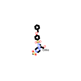 COC(=O)[C@H](CNS(=O)(=O)c1ccc(OCc2ccccc2)cc1)N1CCN(S(C)(=O)=O)CC1